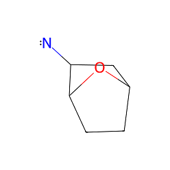 [N]C1CC2CCC1O2